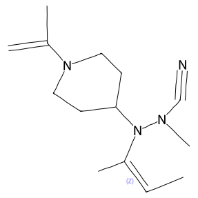 C=C(C)N1CCC(N(/C(C)=C\C)N(C)C#N)CC1